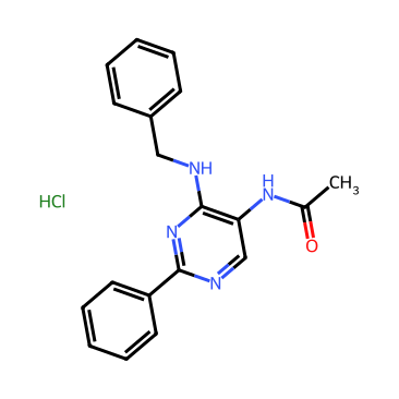 CC(=O)Nc1cnc(-c2ccccc2)nc1NCc1ccccc1.Cl